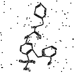 NS(=O)(=O)c1ccc(NC(=O)NCc2ccncc2)cc1Cc1ccccc1Br